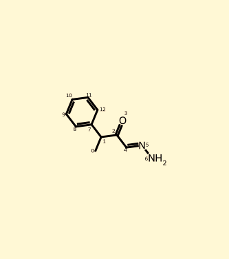 CC(C(=O)C=NN)c1ccccc1